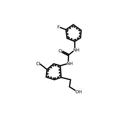 O=C(Nc1cccc(F)c1)Nc1cc(Cl)ccc1CCO